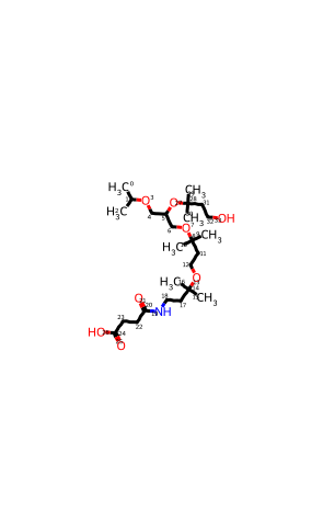 CC(C)OCC(COC(C)(C)CCOC(C)(C)CCNC(=O)CCC(=O)O)OC(C)(C)CCO